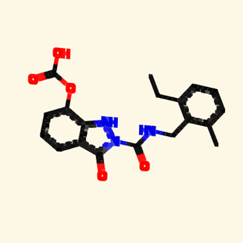 CCc1cccc(C)c1CNC(=O)n1[nH]c2c(OC(=O)O)cccc2c1=O